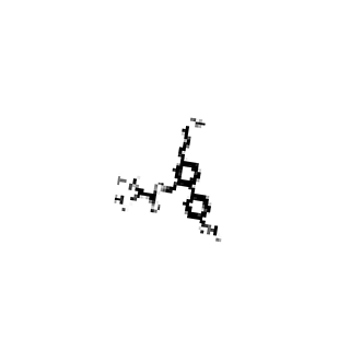 C=C(C)C(=O)OCc1cc(CCCO)ccc1-c1ccc(C)cc1